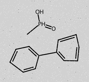 C[PH](=O)O.c1ccc(-c2ccccc2)cc1